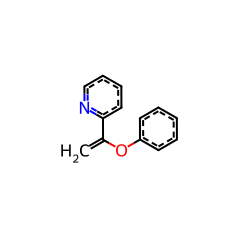 C=C(Oc1ccccc1)c1ccccn1